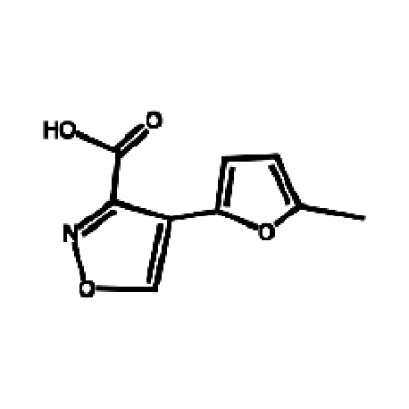 Cc1ccc(-c2conc2C(=O)O)o1